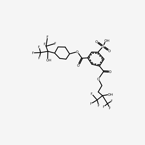 O=C(OCCC(O)(C(F)(F)F)C(F)(F)F)c1cc(C(=O)OC2CCC(C(O)(C(F)(F)F)C(F)(F)F)CC2)cc(S(=O)(=O)O)c1